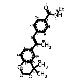 CCNC(=O)c1ccc(C=C(C)c2ccc3c(c2)C(C)(C)CCO3)cc1